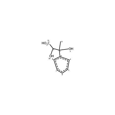 CC(O)(c1ccccc1)C(O)C(=O)O